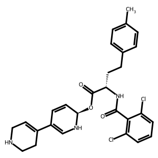 Cc1ccc(CC[C@H](NC(=O)c2c(Cl)cccc2Cl)C(=O)O[C@@H]2C=CC(C3=CCNCC3)=CN2)cc1